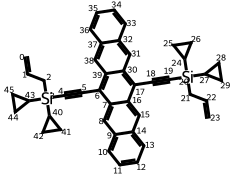 C=CC[Si](C#Cc1c2cc3ccccc3cc2c(C#C[Si](CC=C)(C2CC2)C2CC2)c2cc3ccccc3cc12)(C1CC1)C1CC1